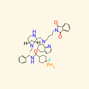 O=C(N[C@@H](CCN1[C@@H]2CCNC(CN(CCCCN3C(=O)c4ccccc4C3=O)[C@H]3CCCc4cccnc43)[C@H]1C2)c1ccccc1)C1CCC(F)(P)CC1